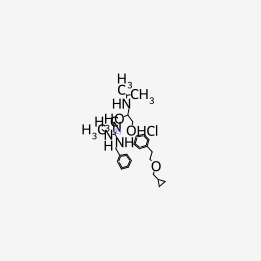 C/N=C(\NC)NCc1ccccc1.CC(C)NCC(O)COc1ccc(CCOCC2CC2)cc1.Cl